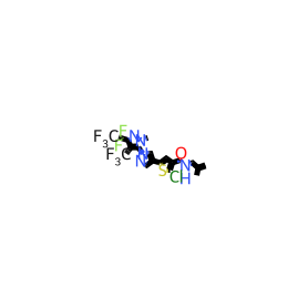 C=C(C)CNC(=O)c1cc(-c2cnn(-c3c(C(F)(F)F)c(C(F)(F)C(F)(F)F)nn3C)c2)sc1Cl